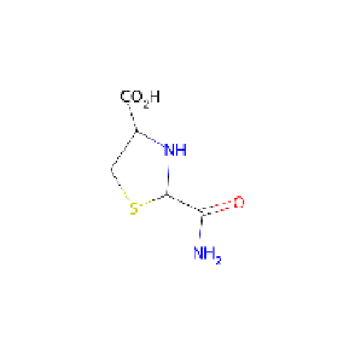 NC(=O)C1NC(C(=O)O)CS1